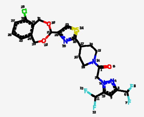 O=C(Cn1nc(C(F)F)cc1C(F)F)N1CCC(c2nc(C3OCc4cccc(Cl)c4CO3)cs2)CC1